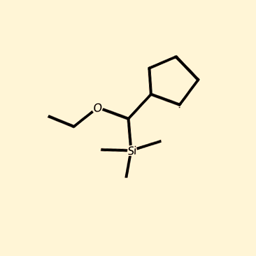 CCOC(C1[CH]CCC1)[Si](C)(C)C